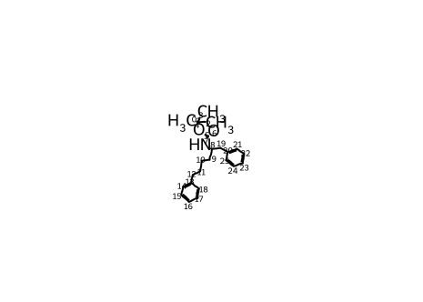 CC(C)(C)OC(=O)NC(CCCCc1ccccc1)Cc1ccccc1